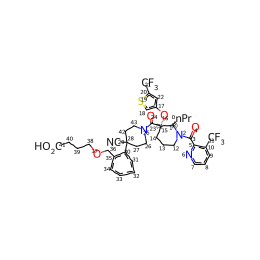 CCC[C@H]1N(C(=O)c2ncccc2C(F)(F)F)CCC[C@@]1(Oc1csc(C(F)(F)F)c1)C(=O)N1CCC(C#N)(c2ccccc2COCCCC(=O)O)CC1